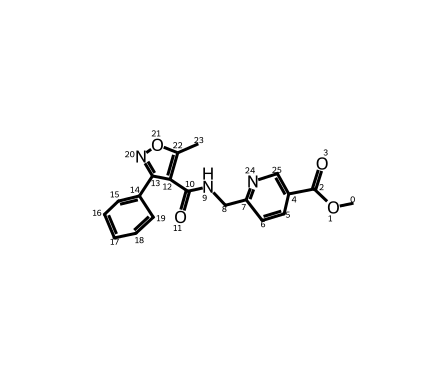 COC(=O)c1ccc(CNC(=O)c2c(-c3ccccc3)noc2C)nc1